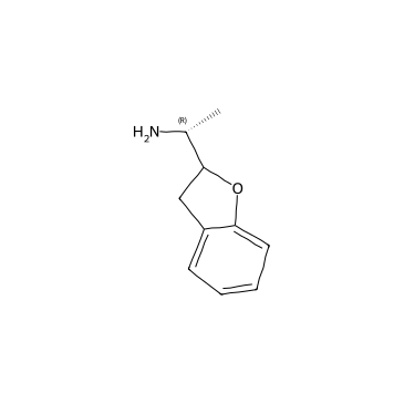 C[C@@H](N)C1Cc2ccccc2O1